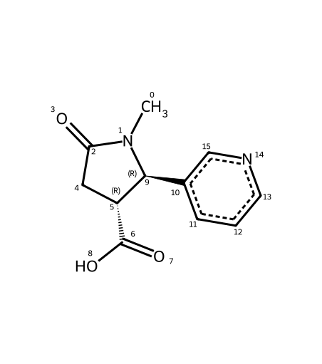 CN1C(=O)C[C@@H](C(=O)O)[C@@H]1c1cccnc1